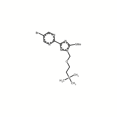 CSc1nc(-c2ncc(Br)cn2)nn1COCC[Si](C)(C)C